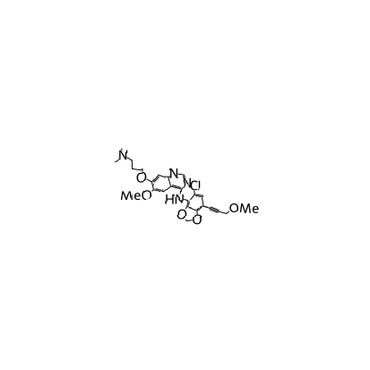 COCC#Cc1cc(Cl)c(Nc2ncnc3cc(OCCCN(C)C)c(OC)cc23)c2c1OCO2